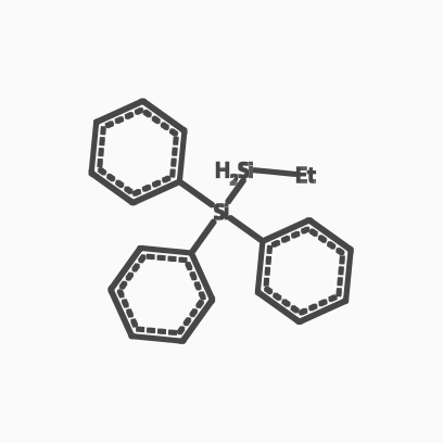 CC[SiH2][Si](c1ccccc1)(c1ccccc1)c1ccccc1